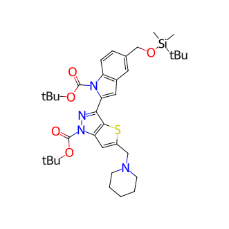 CC(C)(C)OC(=O)n1nc(-c2cc3cc(CO[Si](C)(C)C(C)(C)C)ccc3n2C(=O)OC(C)(C)C)c2sc(CN3CCCCC3)cc21